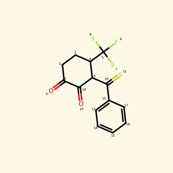 O=C1CCC(C(F)(F)F)C(C(=S)c2ccccc2)C1=O